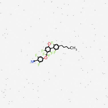 CCCCCc1cc(F)c(-c2c([O])cc(F)c(C(F)(F)Oc3cc(F)c(C#N)c(F)c3)c2F)c(F)c1